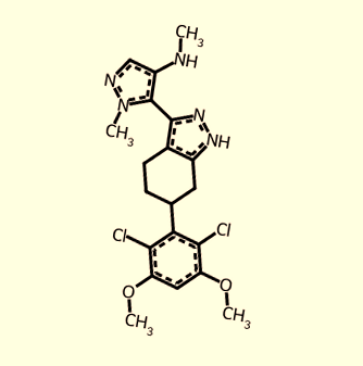 CNc1cnn(C)c1-c1n[nH]c2c1CCC(c1c(Cl)c(OC)cc(OC)c1Cl)C2